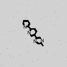 Cc1cnc(-c2ccc(-c3ccccn3)nc2)cn1